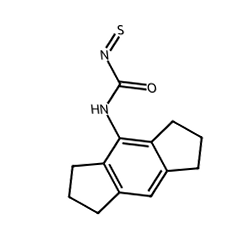 O=C(N=S)Nc1c2c(cc3c1CCC3)CCC2